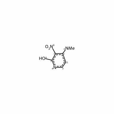 CNc1ccnc(O)c1[N+](=O)[O-]